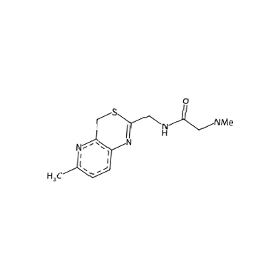 CNCC(=O)NCC1=Nc2ccc(C)nc2CS1